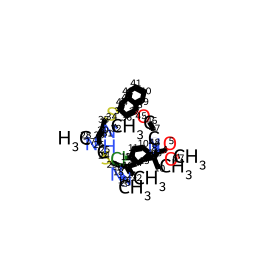 CCc1c(C(=O)OC)n2c3ccc(Cl)c(c13)-c1c(nn(C)c1C)CSCC(=N/C)/C=C(\NC)CSc1cc(c3ccccc3c1)OCCC2